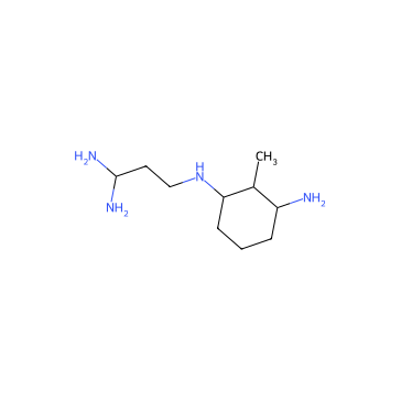 CC1C(N)CCCC1NCCC(N)N